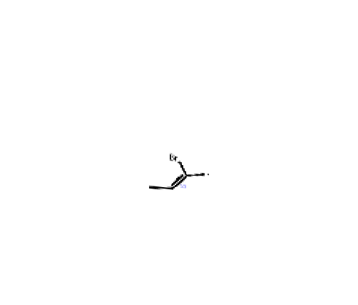 [CH2]/C(Br)=C/C